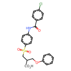 O=C(Nc1ccc(S(=O)(=O)CC(COc2ccccc2)C(=O)O)cc1)c1ccc(Cl)cc1